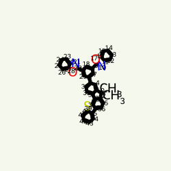 CC1(C)c2cc(-c3cc(-c4nc5ccccc5o4)cc(-c4nc5ccccc5o4)c3)ccc2-c2c1ccc1c2sc2ccccc21